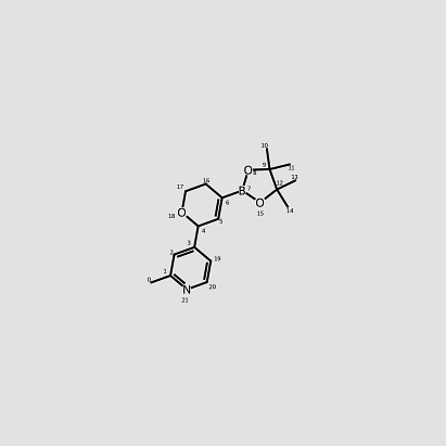 Cc1cc(C2C=C(B3OC(C)(C)C(C)(C)O3)CCO2)ccn1